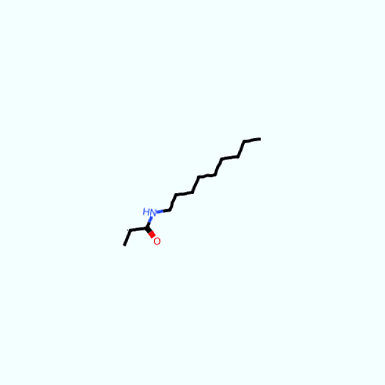 C[CH]C(=O)NCCCCCCCCC